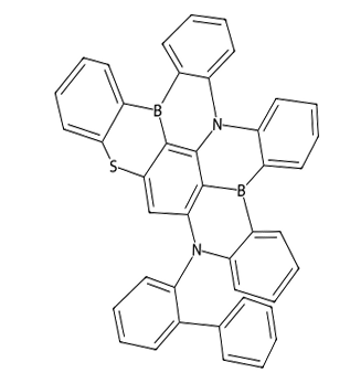 c1ccc(-c2ccccc2N2c3ccccc3B3c4ccccc4N4c5ccccc5B5c6ccccc6Sc6cc2c3c4c65)cc1